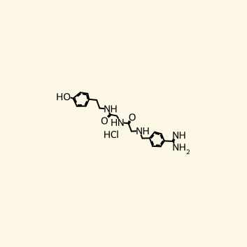 Cl.N=C(N)c1ccc(CNCC(=O)NCC(=O)NCCc2ccc(O)cc2)cc1